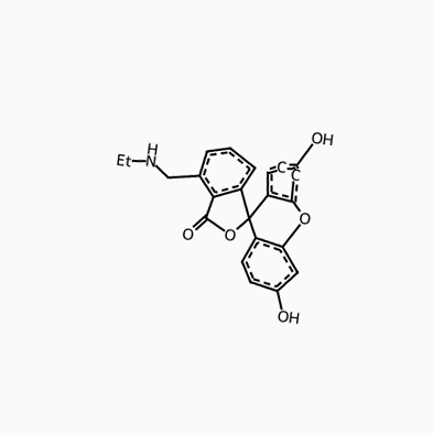 CCNCc1cccc2c1C(=O)OC21c2ccc(O)cc2Oc2cc(O)ccc21